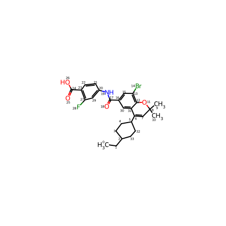 CCC1CCC(C2=CC(C)(C)Oc3c(Br)cc(C(=O)Nc4ccc(C(=O)O)c(F)c4)cc32)CC1